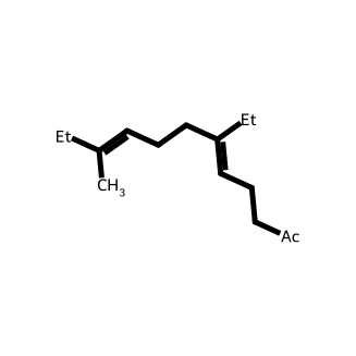 CCC(C)=CCCC(=CCCC(C)=O)CC